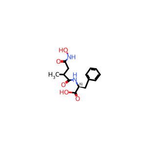 CC(CC(=O)NO)C(=O)N[C@@H](Cc1ccccc1)C(=O)O